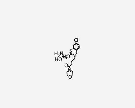 NC(O)=S.O=C(CCCN(Cc1ccc(Cl)cc1)C(O)=S)N1CCOCC1